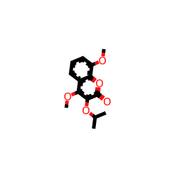 COc1c(OC(C)C)c(=O)oc2c(OC)cccc12